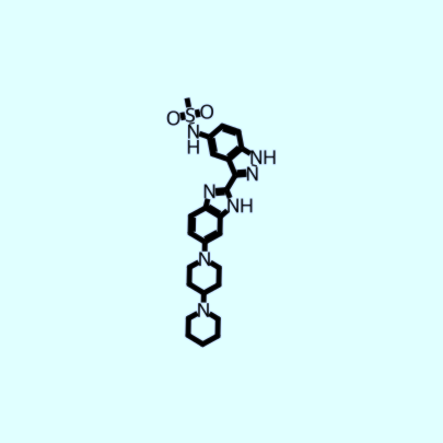 CS(=O)(=O)Nc1ccc2[nH]nc(-c3nc4ccc(N5CCC(N6CCCCC6)CC5)cc4[nH]3)c2c1